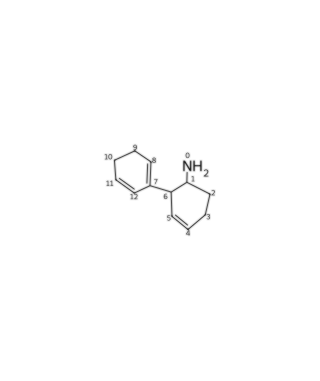 NC1CCC=CC1C1=CCCC=C1